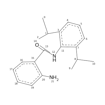 CC(C)c1cccc(C(C)C)c1NC(=O)c1ccccc1N